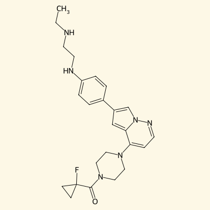 CCNCCNc1ccc(-c2cc3c(N4CCN(C(=O)C5(F)CC5)CC4)ccnn3c2)cc1